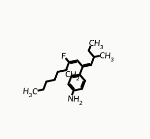 C=C(CCCCC)/C(F)=C\C(=C/C(C)CC)c1ccc(N)cc1